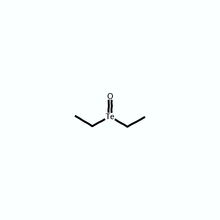 CC[Te](=O)CC